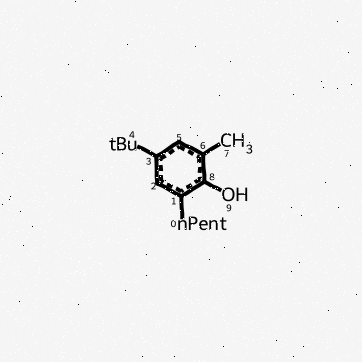 CCCCCc1cc(C(C)(C)C)cc(C)c1O